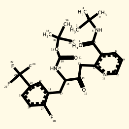 CC(C)(C)NC(=O)c1cccnc1CC(=O)C(Cc1cc(C(F)(F)F)ccc1F)NC(=O)OC(C)(C)C